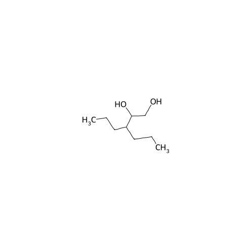 CCCC(CCC)C(O)CO